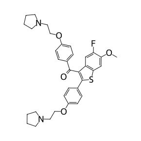 COc1cc2sc(-c3ccc(OCCN4CCCC4)cc3)c(C(=O)c3ccc(OCCN4CCCC4)cc3)c2cc1F